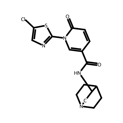 O=C(NC1CN2CCC1CC2)c1ccc(=O)n(-c2ncc(Cl)s2)c1